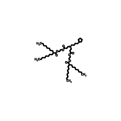 CCCCCCCCC(CCCCCCCC)C(=O)OCCOC(=O)CCN(CCCCN1CCCC1)CCC(=O)OCCOC(=O)C(CCCCCCCC)CCCCCCCC